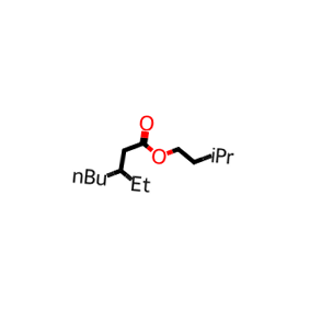 CCCCC(CC)CC(=O)OCCC(C)C